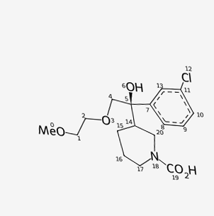 COCCOC[C@](O)(c1cccc(Cl)c1)C1CCCN(C(=O)O)C1